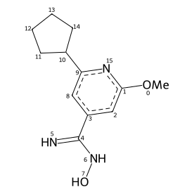 COc1cc(C(=N)NO)cc(C2CCCC2)n1